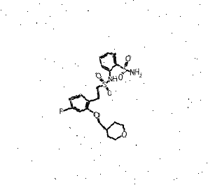 NS(=O)(=O)c1ccccc1NS(=O)(=O)CCc1ccc(F)cc1OCC1CCOCC1